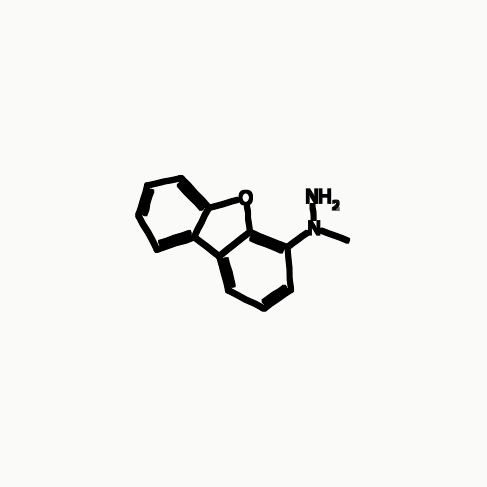 CN(N)c1cccc2c1oc1ccccc12